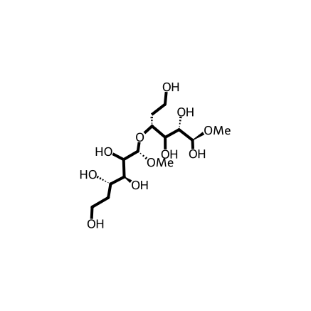 CO[C@@H](O[C@H](CCO)C(O)[C@H](O)[C@H](O)OC)C(O)[C@@H](O)[C@@H](O)CCO